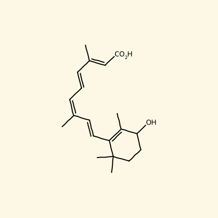 CC(C=C/C=C(/C)C=CC1=C(C)C(O)CCC1(C)C)=CC(=O)O